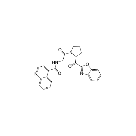 O=C(NCC(=O)N1CCC[C@H]1C(=O)c1nc2ccccc2o1)c1ccnc2ccccc12